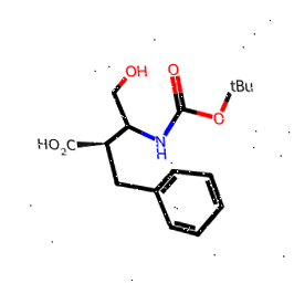 CC(C)(C)OC(=O)NC(CO)[C@@H](Cc1ccccc1)C(=O)O